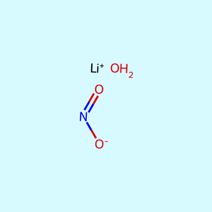 O.O=N[O-].[Li+]